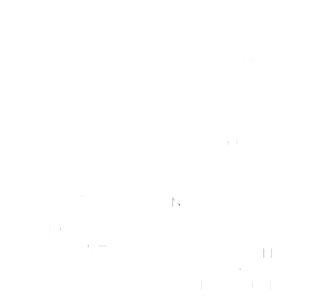 CC(C)(C)c1ccc(N(c2ccc(C(C)(C)C)cc2)c2cc3oc4cc5oc6ccc7ccccc7c6c5cc4c3c3ccccc23)cc1